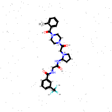 Cc1ccccc1C(=O)N1CCN(C(=O)CN2CCCC2NC(=O)CNC(=O)c2cccc(C(F)(F)F)c2)CC1